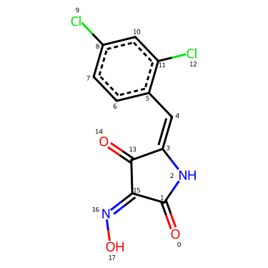 O=C1N/C(=C/c2ccc(Cl)cc2Cl)C(=O)/C1=N/O